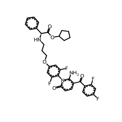 Nc1c(C(=O)c2ccc(F)cc2F)ccc(=O)n1-c1c(F)cc(OCCCN[C@H](C(=O)OC2CCCC2)c2ccccc2)cc1F